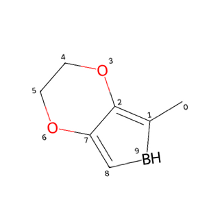 CC1=C2OCCOC2=CB1